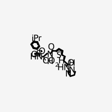 CC(C)c1ccc(S(=O)(=O)N[C@@H](CNC(=O)c2ccc(CCC(=O)NC3=NCCCN3)s2)C(=O)O)cc1